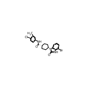 Cc1cc(NC(=O)[C@H]2CC[C@@H](n3c(=O)[nH]c4c(Br)cccc43)CC2)ccc1Cl